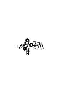 COC(=O)C(Cc1ccccn1)N(Cc1ccc(C(=O)OC(C)(C)C)c(Cl)c1)C(=O)c1sccc1N=[N+]=[N-]